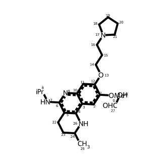 COc1cc2c3c(c(NC(C)C)nc2cc1OCCCN1CCCC1)CCC(C)N3.O=CO